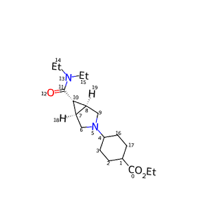 CCOC(=O)C1CCC(N2C[C@@H]3[C@H](C2)[C@H]3C(=O)N(CC)CC)CC1